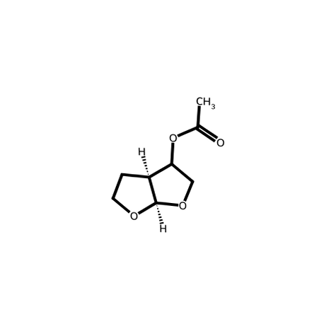 CC(=O)OC1CO[C@H]2OCC[C@@H]12